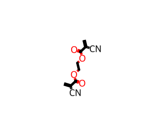 C=C(C#N)C(=O)OCCOC(=O)C(=C)C#N